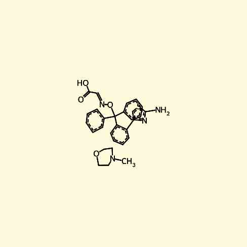 CN1CCOCC1.Nc1nc(-c2ccccc2C(ON=CC(=O)O)(c2ccccc2)c2ccccc2)cs1